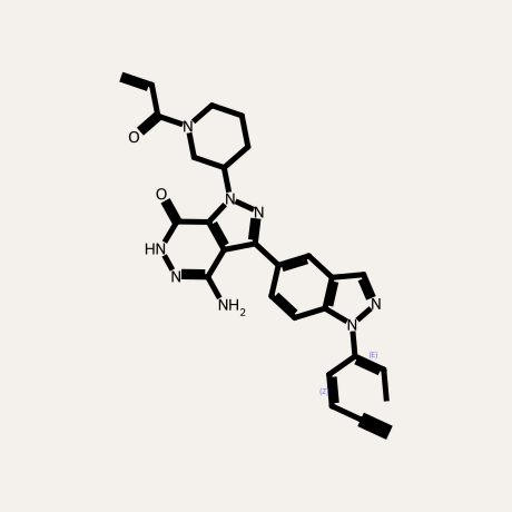 C#C/C=C\C(=C/C)n1ncc2cc(-c3nn(C4CCCN(C(=O)C=C)C4)c4c(=O)[nH]nc(N)c34)ccc21